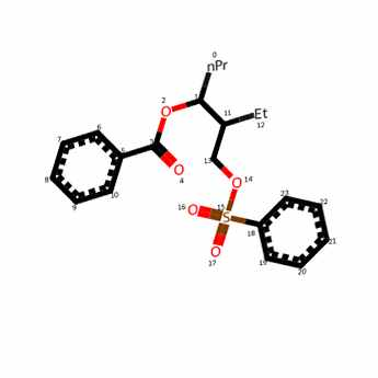 CCCC(OC(=O)c1ccccc1)C(CC)COS(=O)(=O)c1ccccc1